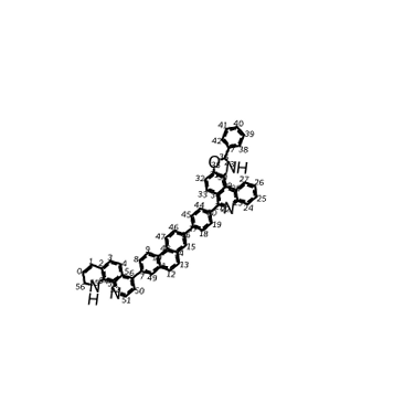 C1=Cc2ccc3c(-c4ccc5c(ccc6cc(-c7ccc(-c8nc9ccccc9c9c%10c(ccc89)OC(c8ccccc8)N%10)cc7)ccc65)c4)ccnc3c2NC1